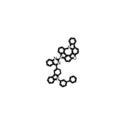 C1=C(c2nc(-n3c4ccc5oc6ccc7c8ccccc8n8c9cccc3c9c4c5c6c78)nc3ccccc23)CCc2c1c1ccccc1n2-c1cccc(-c2ccccc2)c1